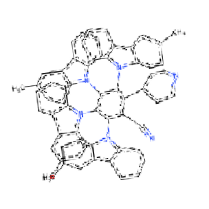 Cc1ccc2c(c1)c1ccccc1n2-c1c(C#N)c(-c2ccncc2)c(-n2c3ccccc3c3cc(C)ccc32)c(-n2c3ccccc3c3cc(C)ccc32)c1-n1c2ccccc2c2cc(C)ccc21